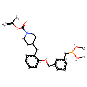 C=C(C)OC(=O)N1CCC(Cc2ccccc2OCc2cccc(CP(OCC)OCC)c2)CC1